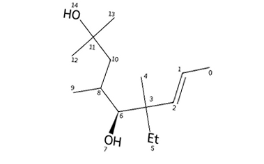 CC=CC(C)(CC)[C@@H](O)C(C)CC(C)(C)O